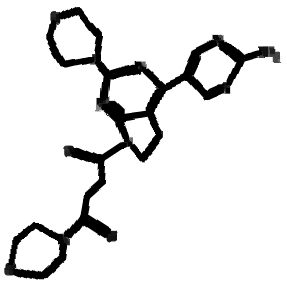 Nc1ncc(-c2nc(N3CCOCC3)nc3c2CCN3C(=O)CCC(=O)N2CCOCC2)cn1